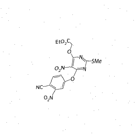 CCOC(=O)COc1nc(SC)nc(Oc2ccc(C#N)c([N+](=O)[O-])c2)c1[N+](=O)[O-]